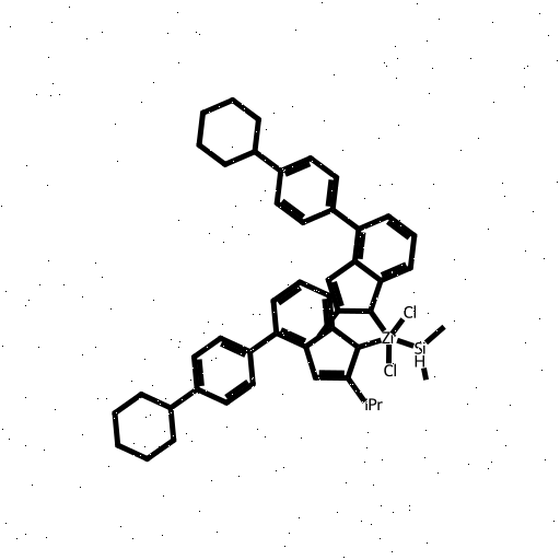 CC1=Cc2c(-c3ccc(C4CCCCC4)cc3)cccc2[CH]1[Zr]([Cl])([Cl])([CH]1C(C(C)C)=Cc2c(-c3ccc(C4CCCCC4)cc3)cccc21)[SiH](C)C